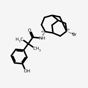 CC(C)(C(=O)N[C@@H]1CCC2C[C@@]3(Br)CC2CC1C3)c1cccc(O)c1